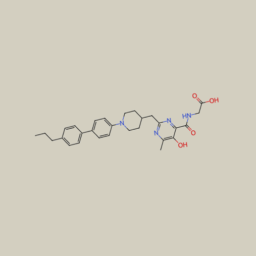 CCCc1ccc(-c2ccc(N3CCC(Cc4nc(C)c(O)c(C(=O)NCC(=O)O)n4)CC3)cc2)cc1